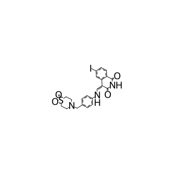 O=C1NC(=O)c2ccc(I)cc2/C1=C/Nc1ccc(CN2CCS(=O)(=O)CC2)cc1